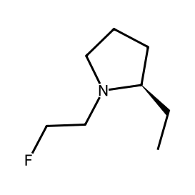 CC[C@@H]1CCCN1CCF